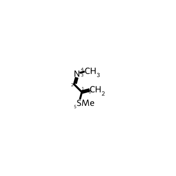 C=C(/C=N\C)SC